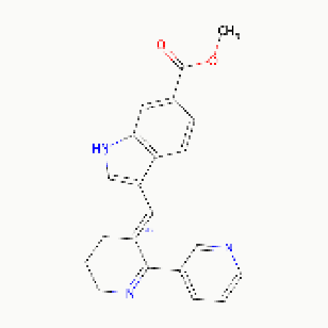 COC(=O)c1ccc2c(/C=C3\CCCN=C3c3cccnc3)c[nH]c2c1